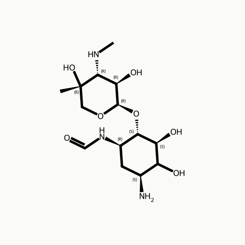 CN[C@@H]1[C@@H](O)[C@@H](O[C@H]2[C@H](NC=O)C[C@H](N)C(O)[C@@H]2O)OC[C@]1(C)O